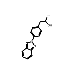 CCC(O)Cc1ccc(-n2nc3ccccc3n2)cc1